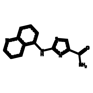 NC(=O)c1csc(Nc2cccc3ncccc23)n1